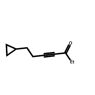 CCC(=O)C#CCCC1CC1